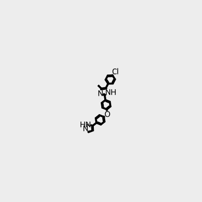 Cc1nc(-c2ccc(Oc3ccc(-c4ccn[nH]4)cc3)cc2)[nH]c1-c1ccc(Cl)cc1